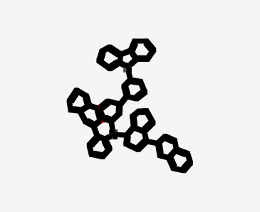 c1cc(-c2cccc(-n3c4ccccc4c4ccccc43)c2)cc(N(c2ccccc2-c2ccc3ccccc3c2)c2ccc(-c3ccc4ccccc4c3)c3ccccc23)c1